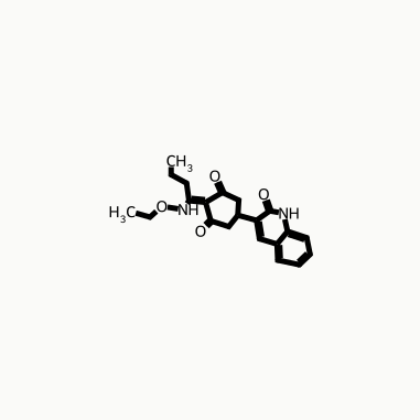 CCCC(NOCC)=C1C(=O)CC(c2cc3ccccc3[nH]c2=O)CC1=O